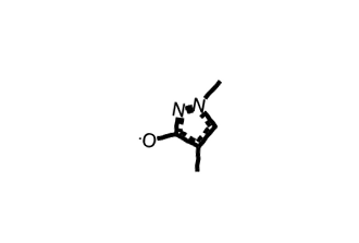 Cc1cn(C)nc1[O]